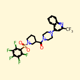 O=C(C1CCCN(S(=O)(=O)c2c(F)c(F)c(F)c(F)c2F)C1)N1CCN(c2cc(C(F)(F)F)nc3ccccc23)CC1